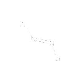 [Zr][N]=[N][Zr]